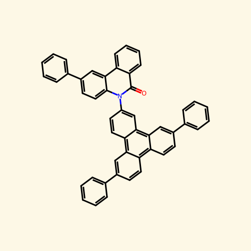 O=c1c2ccccc2c2cc(-c3ccccc3)ccc2n1-c1ccc2c3cc(-c4ccccc4)ccc3c3ccc(-c4ccccc4)cc3c2c1